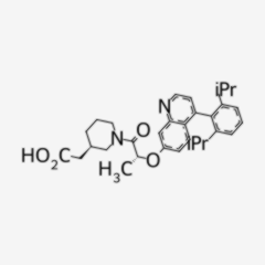 CC(C)c1cccc(C(C)C)c1-c1ccnc2cc(O[C@H](C)C(=O)N3CCC[C@H](CC(=O)O)C3)ccc12